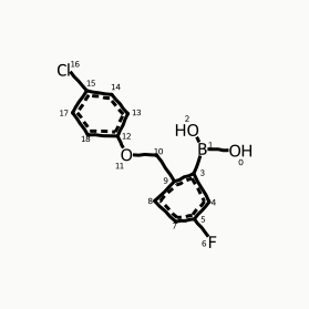 OB(O)c1cc(F)ccc1COc1ccc(Cl)cc1